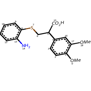 COc1ccc(C(CSc2ccccc2N)C(=O)O)cc1OC